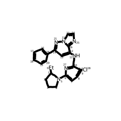 CCC1CCCN1c1cccc(Nc2cc(-c3ccccc3)nn3ccnc23)n1.Cl